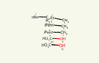 CCC.CCCC(C)C.CCCC(C)C.CCCCC.O=C(O)O.O=C(O)O